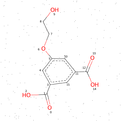 O=C(O)c1cc(OCCO)cc(C(=O)O)c1